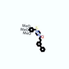 COc1cc(C(=S)N2CCN(C(=O)/C=C/c3cccc(-c4ccccc4)c3)CC2)cc(OC)c1OC